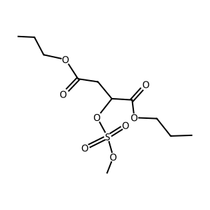 CCCOC(=O)CC(OS(=O)(=O)OC)C(=O)OCCC